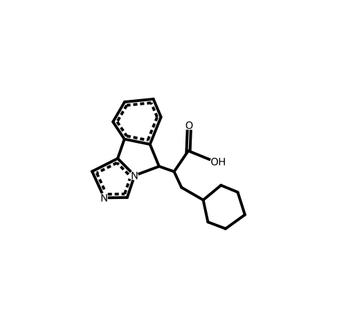 O=C(O)C(CC1CCCCC1)C1c2ccccc2-c2cncn21